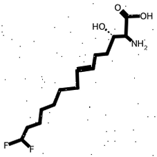 NC(C(=O)O)[C@@H](O)CC/C=C/CCCCCCC(F)F